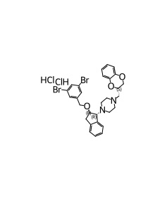 Brc1cc(Br)cc(CO[C@@H]2Cc3ccccc3[C@H]2N2CCN(C[C@H]3COc4ccccc4O3)CC2)c1.Cl.Cl